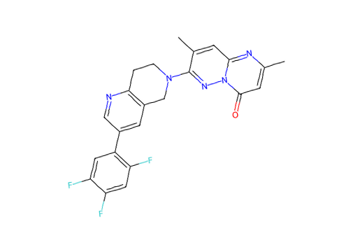 Cc1cc(=O)n2nc(N3CCc4ncc(-c5cc(F)c(F)cc5F)cc4C3)c(C)cc2n1